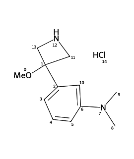 COC1(c2cccc(N(C)C)c2)CNC1.Cl